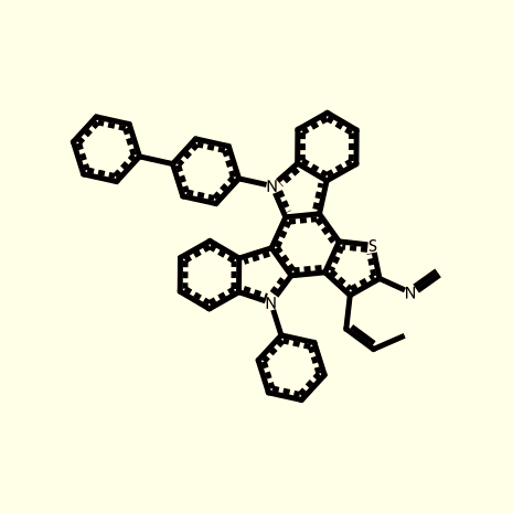 C=Nc1sc2c(c1/C=C\C)c1c(c3ccccc3n1-c1ccccc1)c1c2c2ccccc2n1-c1ccc(-c2ccccc2)cc1